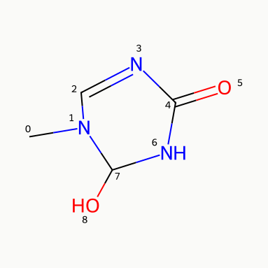 CN1C=NC(=O)NC1O